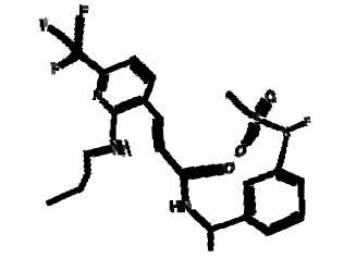 CCCNc1nc(C(F)(F)F)ccc1C=CC(=O)NC(C)c1cccc(N(F)S(C)(=O)=O)c1